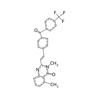 Cc1cccc2nc(/C=C/c3ccc(C(=O)c4ccc(C(F)(F)F)cc4)cc3)n(C)c(=O)c12